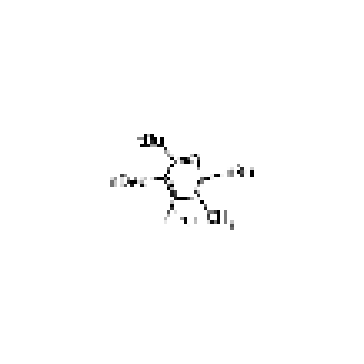 CCCCCCCCCCc1c(C(C)(C)C)cc(CCCC)c(C)c1CCCCCCCCCC